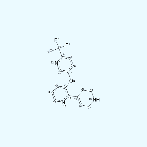 FC(F)(F)c1ccc(Oc2cccnc2C2=CCNCC2)cn1